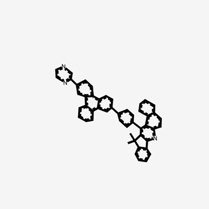 CC1(C)c2ccccc2-c2nc3ccc4ccccc4c3c(-c3ccc(-c4ccc5c6ccc(-c7cnccn7)cc6c6ccccc6c5c4)cc3)c21